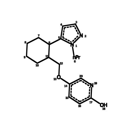 CCCn1nccc1C1CCCCC1COc1ccc(O)nc1